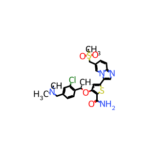 C[C@@H](Oc1cc(-c2cnc3ccc(CS(C)(=O)=O)cn23)sc1C(N)=O)c1ccc(CN(C)C)cc1Cl